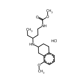 CCC(CCNC(=O)OC)NC1CCc2cccc(OC)c2C1.Cl